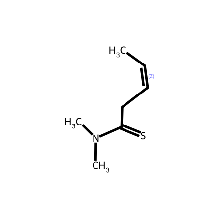 C/C=C\CC(=S)N(C)C